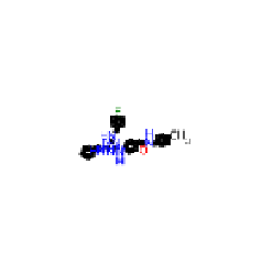 Cc1ccc(CNC(=O)Cc2ccc(Nc3nc(NCc4ccc(F)cc4)nc(NCC4CCCCC4)n3)cc2)cc1